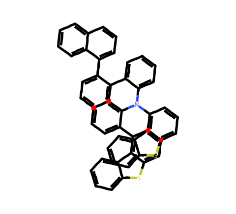 c1ccc(-c2cccc3ccccc23)c(-c2ccccc2N(c2ccccc2-c2cccc3sc4ccccc4c23)c2cccc3sc4ccccc4c23)c1